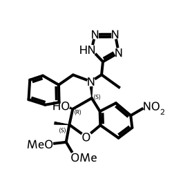 COC(OC)[C@@]1(C)Oc2ccc([N+](=O)[O-])cc2[C@H](N(Cc2ccccc2)C(C)c2nnn[nH]2)[C@H]1O